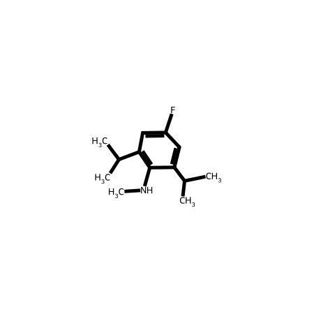 CNc1c(C(C)C)cc(F)cc1C(C)C